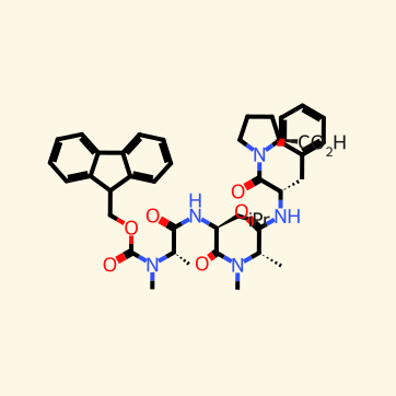 CC(C)C[C@H](NC(=O)[C@H](C)N(C)C(=O)OCC1c2ccccc2-c2ccccc21)C(=O)N(C)[C@@H](C)C(=O)N[C@@H](Cc1ccccc1)C(=O)N1CCC[C@H]1C(=O)O